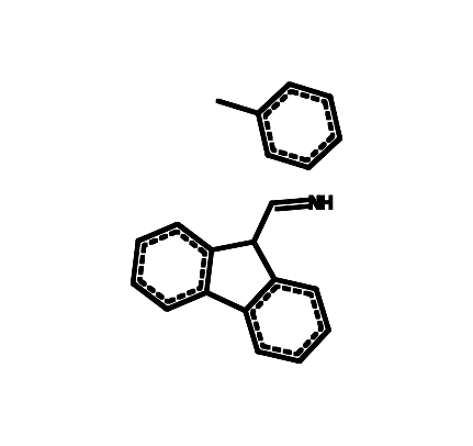 Cc1ccccc1.N=CC1c2ccccc2-c2ccccc21